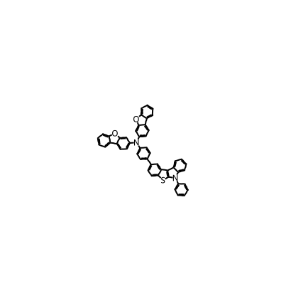 c1ccc(-n2c3ccccc3c3c4cc(-c5ccc(N(c6ccc7c(c6)oc6ccccc67)c6ccc7c(c6)oc6ccccc67)cc5)ccc4sc32)cc1